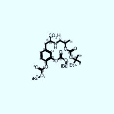 CCC(C)OC(=O)Oc1ccc(C[C@H](NCC(C)OC(=O)OC(C)(C)CC)C(=O)O)cc1OC(=O)OC(C)CC